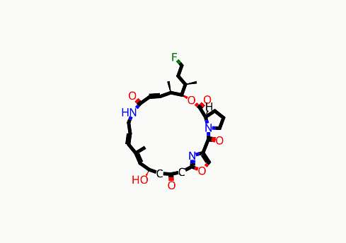 CC1=C\[C@@H](O)CC(=O)Cc2nc(co2)C(=O)N2CCC[C@@H]2C(=O)O[C@H]([C@H](C)CCF)[C@H](C)/C=C/C(=O)NC\C=C\1